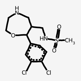 CS(=O)(=O)NCC1CNCCOC1c1ccc(Cl)c(Cl)c1